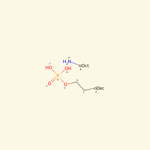 CCCCCCCCCCCCOP(=O)(O)O.CCCCCCCCN